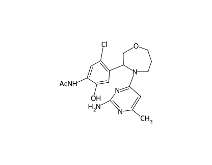 CC(=O)Nc1cc(Cl)c(C2COCCCN2c2cc(C)nc(N)n2)cc1O